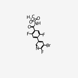 CS(=O)(=O)NC(=O)c1cc(F)c(-c2cnc(F)c(Br)c2)cc1F